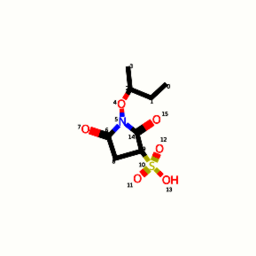 CCC(C)ON1C(=O)CC(S(=O)(=O)O)C1=O